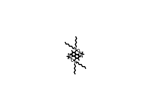 CCCCCCN(CCCCCC)C(=O)c1c(C)c2c(c3c(C(=O)N(CCCCCC)CCCCCC)c(C)c4c(c13)=NC(C)(C)N=4)=NC(C)(C)N=2